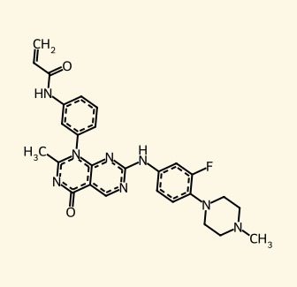 C=CC(=O)Nc1cccc(-n2c(C)nc(=O)c3cnc(Nc4ccc(N5CCN(C)CC5)c(F)c4)nc32)c1